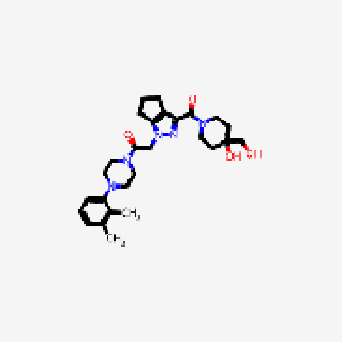 Cc1cccc(N2CCN(C(=O)Cn3nc(C(=O)N4CCC(O)(CO)CC4)c4c3CCC4)CC2)c1C